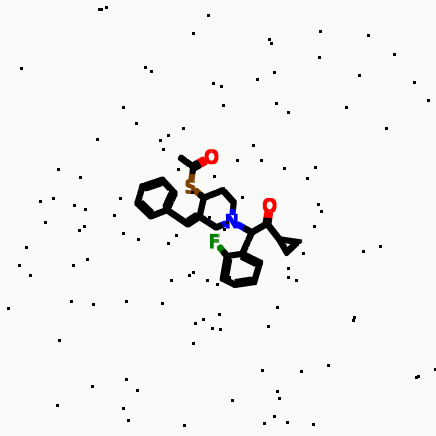 CC(=O)SC1CCN(C(C(=O)C2CC2)c2ccccc2F)C/C1=C/c1ccccc1